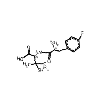 CC(C)(S)[C@@H](NC(=O)[C@H](N)Cc1ccc(F)cc1)C(=O)O